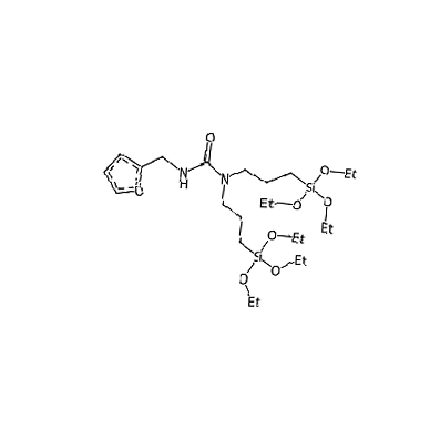 CCO[Si](CCCN(CCC[Si](OCC)(OCC)OCC)C(=O)NCc1ccco1)(OCC)OCC